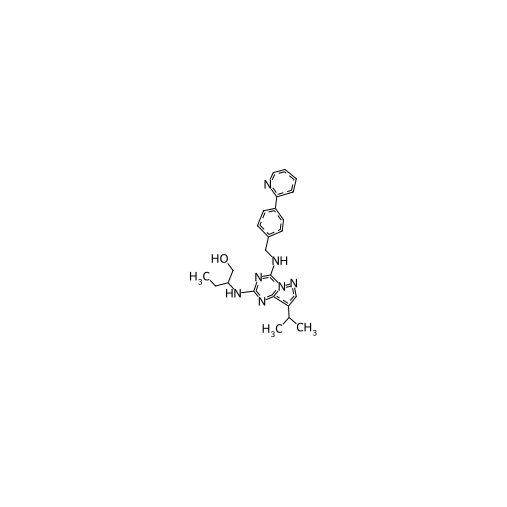 CCC(CO)Nc1nc(NCc2ccc(-c3ccccn3)cc2)n2ncc(C(C)C)c2n1